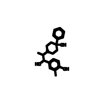 Cc1cc(C(O)C(C)N2CCC(O)(c3ccccc3)CC2)ccc1O